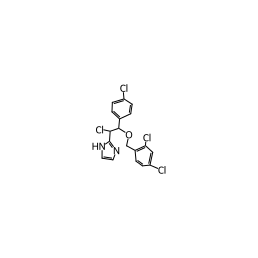 Clc1ccc(C(OCc2ccc(Cl)cc2Cl)C(Cl)c2ncc[nH]2)cc1